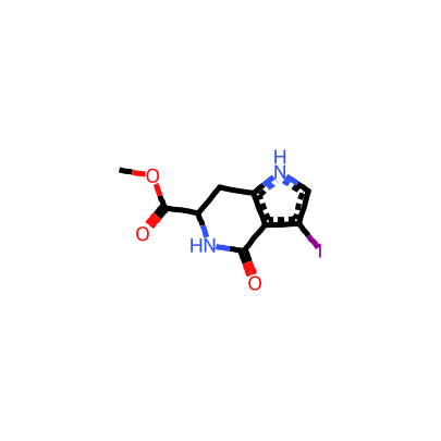 COC(=O)C1Cc2[nH]cc(I)c2C(=O)N1